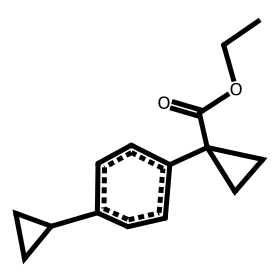 CCOC(=O)C1(c2ccc(C3CC3)cc2)CC1